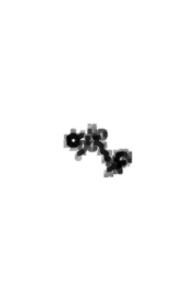 CCOC(=O)[C@H](Cc1ccccc1)N(C)C(=O)CCCCCn1c(C)nc2cnccc21